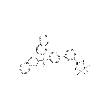 CC1(C)OB(c2cccc(-c3ccc(P(=O)(c4ccc5ccccc5c4)c4ccc5ccccc5c4)cc3)c2)OC1(C)C